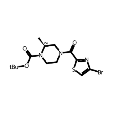 C[C@H]1CN(C(=O)c2nc(Br)cs2)CCN1C(=O)OC(C)(C)C